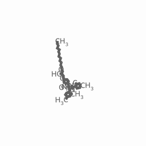 CCCCCCCCCCCCCOCC(O)COc1ccc(-c2nc(-c3ccc(C)cc3C)nc(-c3ccc(C)cc3C)n2)c(N=O)c1